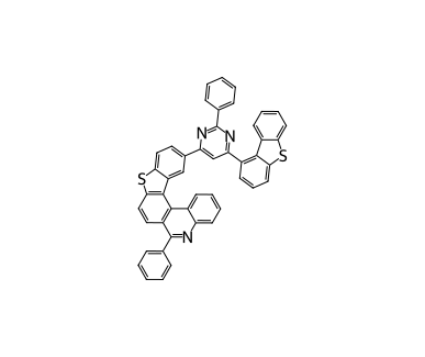 c1ccc(-c2nc(-c3ccc4sc5ccc6c(-c7ccccc7)nc7ccccc7c6c5c4c3)cc(-c3cccc4sc5ccccc5c34)n2)cc1